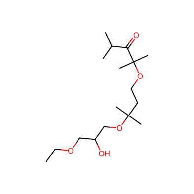 CCOCC(O)COC(C)(C)CCOC(C)(C)C(=O)C(C)C